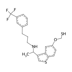 CC(NCCCc1cccc(C(F)(F)F)c1)c1csc2ccc(OCS)cc12